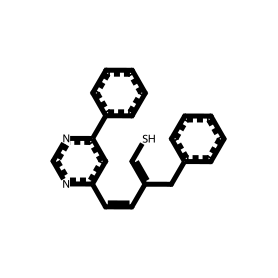 S/C=C(/C=C\c1cc(-c2ccccc2)ncn1)Cc1ccccc1